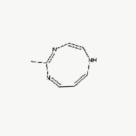 Cc1nccc[nH]ccn1